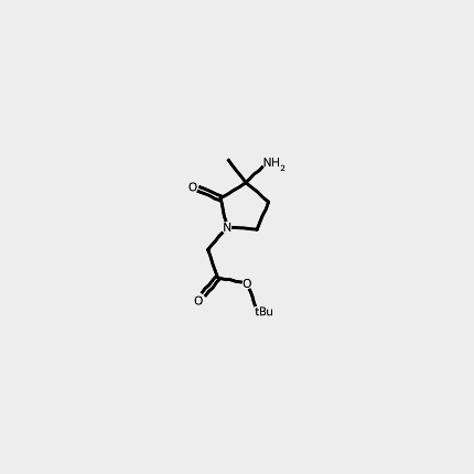 CC(C)(C)OC(=O)CN1CCC(C)(N)C1=O